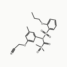 CCCOc1ccccc1S(=O)(=O)N(C(=O)P(C)(C)=O)c1cc(C)cc(OCC#N)c1